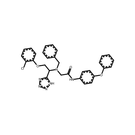 O=C(CN(Cc1ccccc1)C(COc1ccccc1Cl)c1nnn[nH]1)Nc1ccc(Oc2ccccc2)cc1